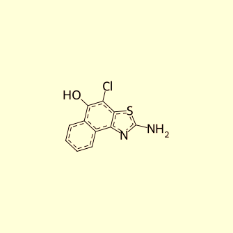 Nc1nc2c(s1)c(Cl)c(O)c1ccccc12